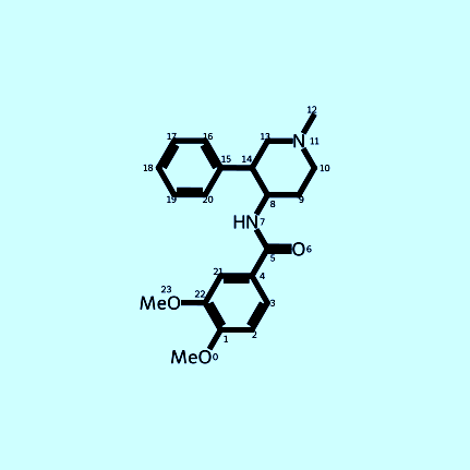 COc1ccc(C(=O)NC2CCN(C)CC2c2ccccc2)cc1OC